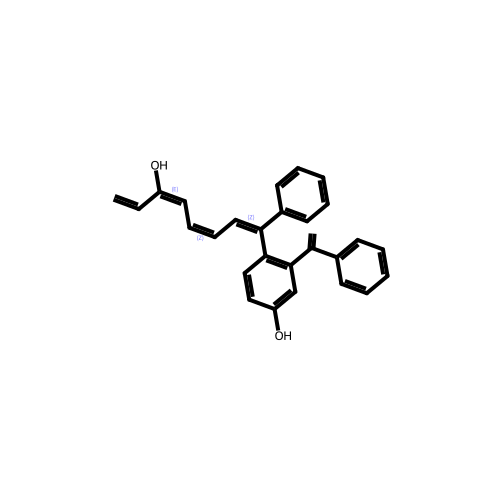 C=C\C(O)=C/C=C\C=C(\c1ccccc1)c1ccc(O)cc1C(=C)c1ccccc1